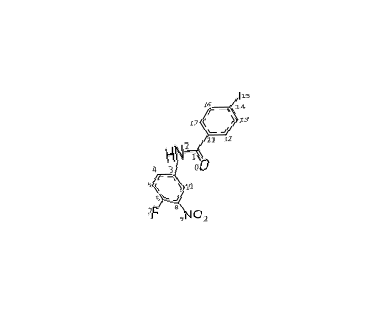 O=C(Nc1ccc(F)c([N+](=O)[O-])c1)c1ccc(I)cc1